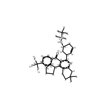 CC1(C)CCc2c(nc(C3C=CC[C@H](O[Si](C)(C)C(C)(C)C)C3)c(C(=O)c3ccc(C(F)(F)F)cc3)c2C2CCCC2)C1